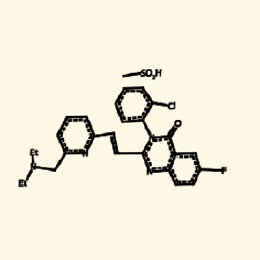 CCN(CC)Cc1cccc(C=Cc2nc3ccc(F)cc3c(=O)n2-c2ccccc2Cl)n1.CS(=O)(=O)O